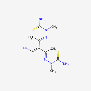 CC(=NN(C)C(N)=S)C(=CN)C(C)=NN(C)C(N)=S